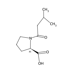 CC(C)CC(=O)N1CCC[C@@H]1C(=O)O